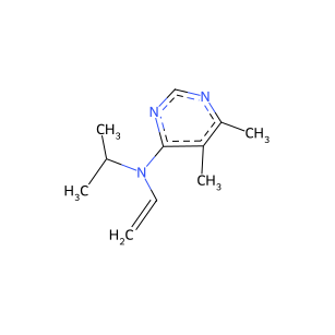 C=CN(c1ncnc(C)c1C)C(C)C